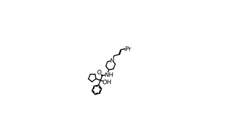 CC(C)C=CCN1CCC(NC(=O)C(O)(c2ccccc2)C2CCCC2)CC1